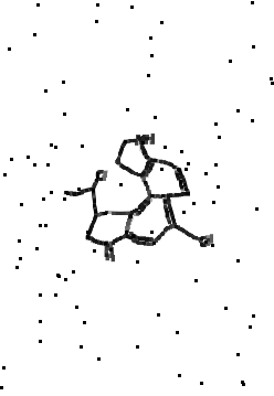 CC(Cl)C1CNc2cc(O)c3ccc4c(c3c21)CCN4